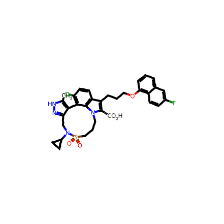 Cc1[nH]nc2c1-c1c(Cl)ccc3c(CCCOc4cccc5cc(F)ccc45)c(C(=O)O)n(c13)CCCS(=O)(=O)N(C1CC1)C2